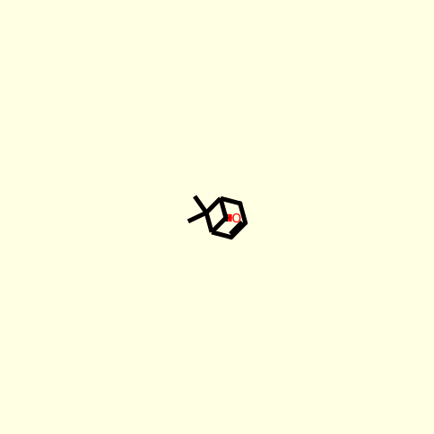 CC1(C)C2C=CCC1C2=O